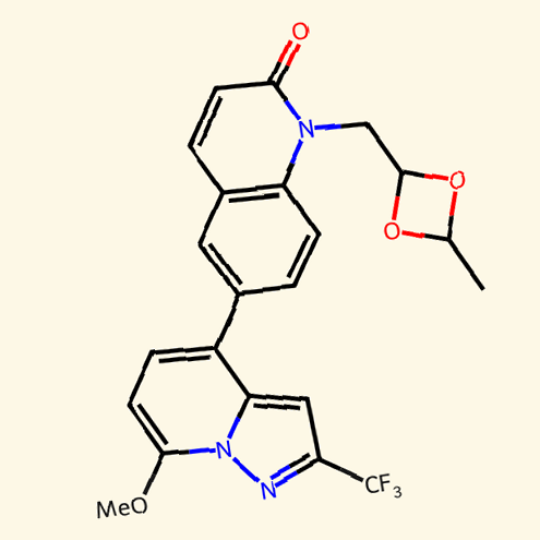 COc1ccc(-c2ccc3c(ccc(=O)n3CC3OC(C)O3)c2)c2cc(C(F)(F)F)nn12